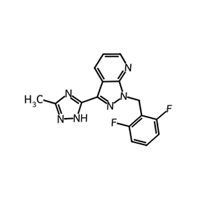 Cc1n[nH]c(-c2nn(Cc3c(F)cccc3F)c3ncccc23)n1